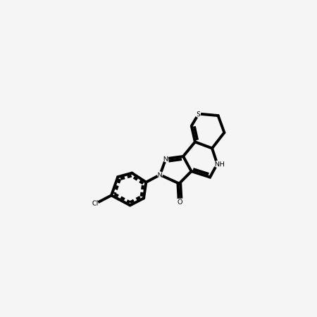 O=C1C2=CNC3CCSC=C3C2=NN1c1ccc(Cl)cc1